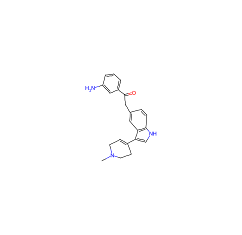 CN1CC=C(c2c[nH]c3ccc(CC(=O)c4cccc(N)c4)cc23)CC1